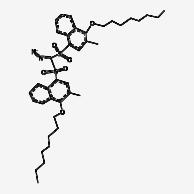 CCCCCCCCOc1c(C)cc(S(=O)(=O)C(=[N+]=[N-])S(=O)(=O)c2cc(C)c(OCCCCCCCC)c3ccccc23)c2ccccc12